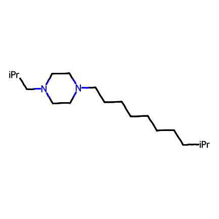 CC(C)CCCCCCCCN1CCN(CC(C)C)CC1